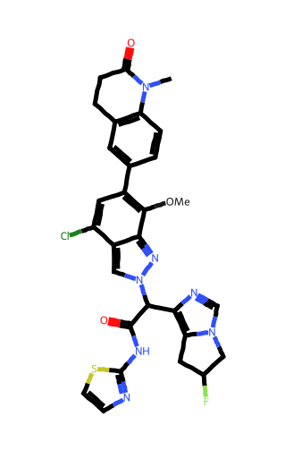 COc1c(-c2ccc3c(c2)CCC(=O)N3C)cc(Cl)c2cn(C(C(=O)Nc3nccs3)c3ncn4c3CC(F)C4)nc12